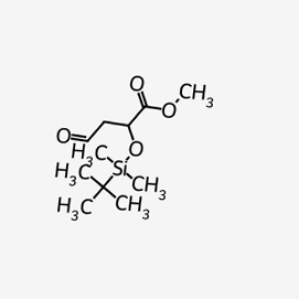 COC(=O)C(CC=O)O[Si](C)(C)C(C)(C)C